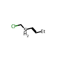 CCC=C[SiH2]CCl